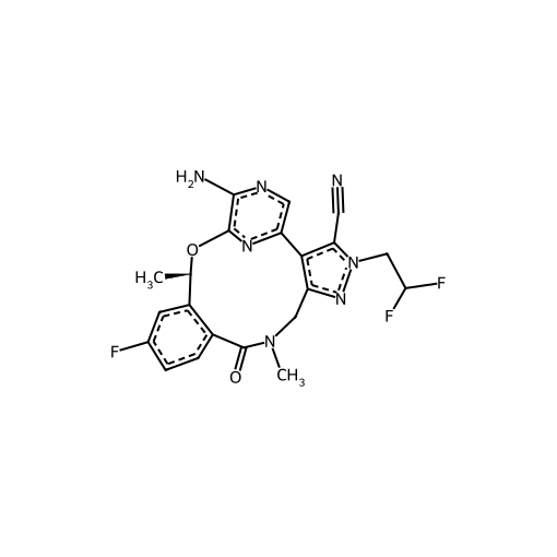 C[C@H]1Oc2nc(cnc2N)-c2c(nn(CC(F)F)c2C#N)CN(C)C(=O)c2ccc(F)cc21